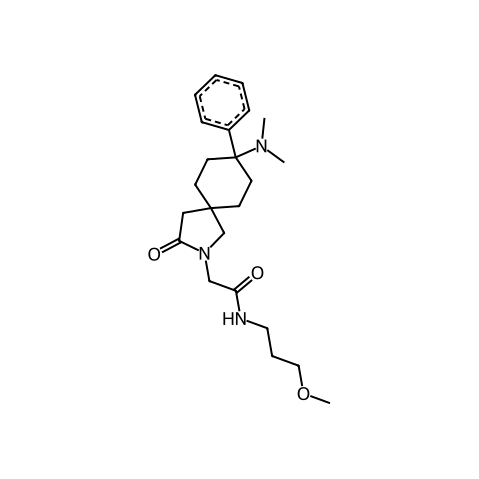 COCCCNC(=O)CN1CC2(CCC(c3ccccc3)(N(C)C)CC2)CC1=O